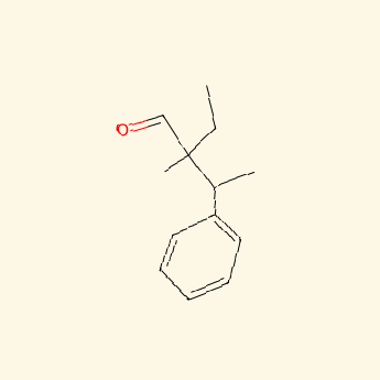 CCC(C)(C=O)C(C)c1ccccc1